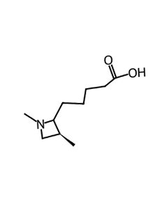 C[C@H]1CN(C)C1CCCCC(=O)O